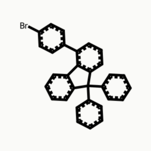 Brc1ccc(-c2cccc3c2-c2ccccc2C3(c2ccccc2)c2ccccc2)cc1